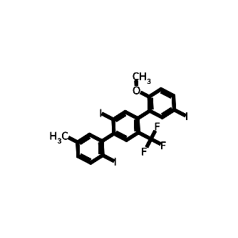 COc1ccc(I)cc1-c1cc(I)c(-c2cc(C)ccc2I)cc1C(F)(F)F